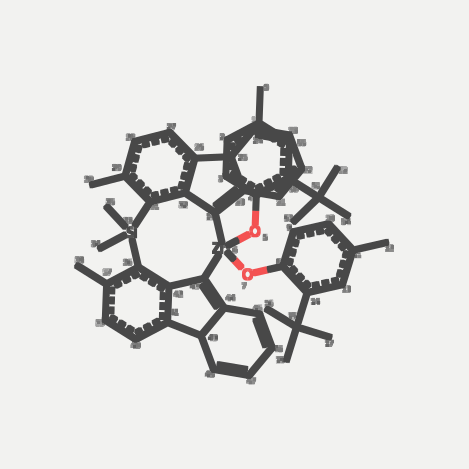 Cc1ccc([O][Zr]2([O]c3ccc(C)cc3C(C)(C)C)[C]3=C4C=CC=CC4c4ccc(C)c(c43)[Si](C)(C)c3c(C)ccc4c3[C]2=C2C=CC=CC24)c(C(C)(C)C)c1